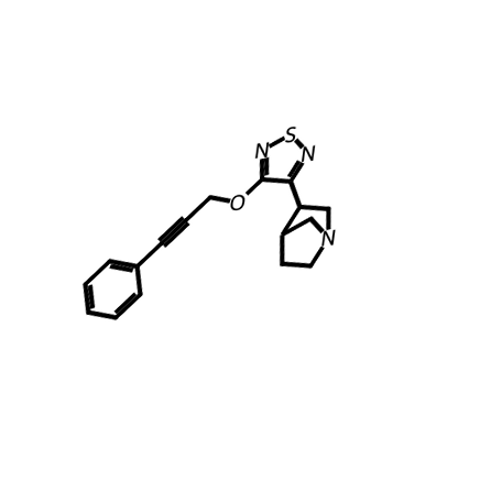 C(#Cc1ccccc1)COc1nsnc1C1CN2CCC1C2